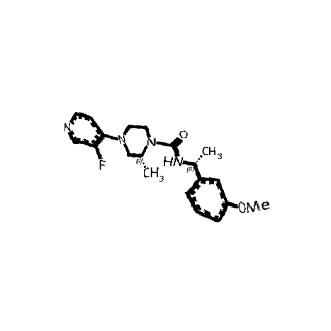 COc1cccc([C@@H](C)NC(=O)N2CCN(c3ccncc3F)C[C@H]2C)c1